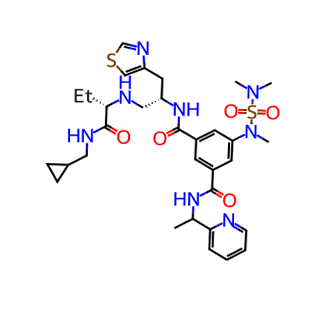 CC[C@H](NC[C@H](Cc1cscn1)NC(=O)c1cc(C(=O)NC(C)c2ccccn2)cc(N(C)S(=O)(=O)N(C)C)c1)C(=O)NCC1CC1